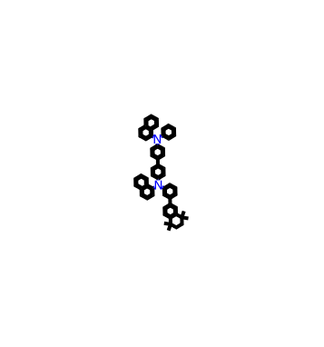 CC1(C)CCC(C)(C)c2cc(-c3cccc(N(c4ccc(-c5ccc(N(c6ccccc6)c6cccc7ccccc67)cc5)cc4)c4cccc5ccccc45)c3)ccc21